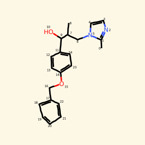 Cc1nccn1CC(C)C(O)c1ccc(OCc2ccccc2)cc1